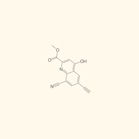 C#Cc1cc(C#N)c2nc(C(=O)OC)cc(O)c2c1